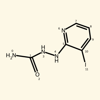 NC(=O)NNc1ncccc1I